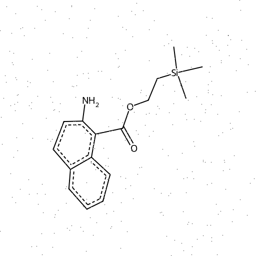 C[Si](C)(C)CCOC(=O)c1c(N)ccc2ccccc12